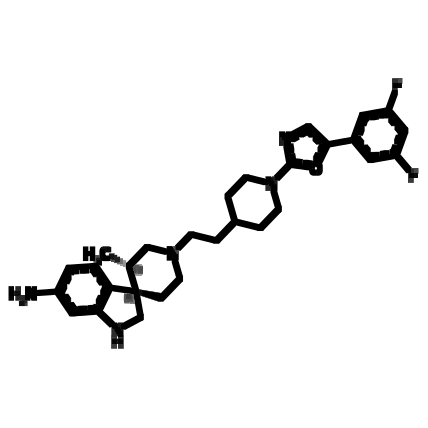 C[C@@H]1CN(CCC2CCN(c3ncc(-c4cc(F)cc(F)c4)o3)CC2)CC[C@]12CNc1cc(N)ccc12